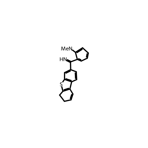 CNc1ccccc1C(=N)c1ccc2c3c(sc2c1)CCC=C3